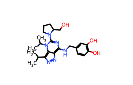 CC(C)c1nnc2c(NCc3ccc(O)c(O)c3)nc(N3CCCC3CO)n(C(C)C)c1-2